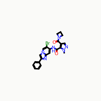 Cn1ncc(C(=O)N2CCC2)c1C(=O)Nc1cc2nc(-c3ccccc3)cn2cc1Br